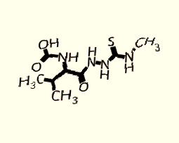 CNC(=S)NNC(=O)C(NC(=O)O)C(C)C